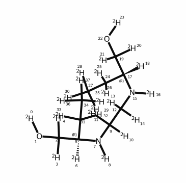 [2H]OC([2H])([2H])[C@]([2H])(N([2H])C([2H])([2H])C([2H])([2H])N([2H])[C@@]([2H])(C([2H])([2H])O[2H])C([2H])([2H])C([2H])([2H])[2H])C([2H])([2H])C([2H])([2H])[2H]